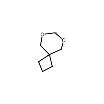 [CH]1OCC2(CCC2)CO1